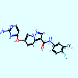 Nc1nccc(Oc2ccc3c(C(=O)Nc4ccc(F)c(C(F)(F)F)c4)cnn3c2)n1